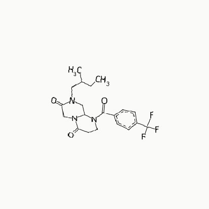 CCC(C)CN1CC2N(CC1=O)C(=O)CCN2C(=O)c1ccc(C(F)(F)F)cc1